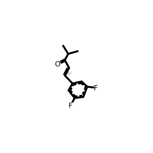 CC(C)C(=O)/C=C/c1cc(F)cc(F)c1